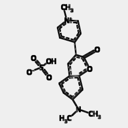 CN(C)c1ccc2cc(-c3cc[n+](C)cc3)c(=O)oc2c1.O=S(=O)([O-])O